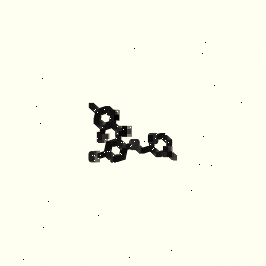 Cc1cnc(Nc2cc(Cl)ccc2OCC2CN(C)CCO2)c(Br)c1